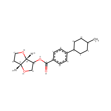 CC1CCC(c2ccc(C(=O)OC3CO[C@@H]4CCO[C@H]34)cc2)CC1